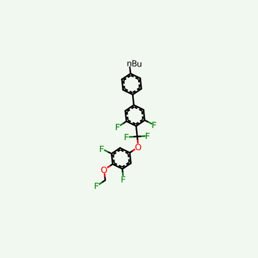 CCCCc1ccc(-c2cc(F)c(C(F)(F)Oc3cc(F)c(OCF)c(F)c3)c(F)c2)cc1